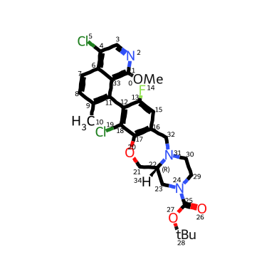 COc1ncc(Cl)c2ccc(C)c(-c3c(F)cc4c(c3Cl)OC[C@H]3CN(C(=O)OC(C)(C)C)CCN3C4)c12